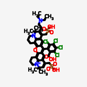 CCN(CC)CCC1=C(CS(=O)(=O)O)c2cc3c(c4c2N(CCC4)C1(C)C)Oc1c2c4c(cc1=C3c1c(Cl)c(Cl)c(Cl)c(Cl)c1C(=O)O)C(CS(=O)(=O)O)=CC(C)(C)[N+]=4CCC2